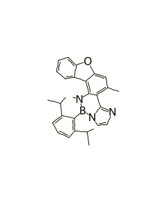 Cc1cc2oc3ccccc3c2c2c1-c1nccn1B(c1c(C(C)C)cccc1C(C)C)N2C